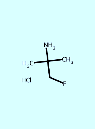 CC(C)(N)CF.Cl